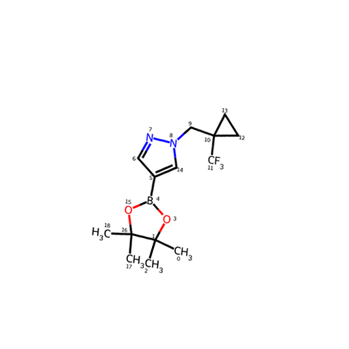 CC1(C)OB(c2cnn(CC3(C(F)(F)F)CC3)c2)OC1(C)C